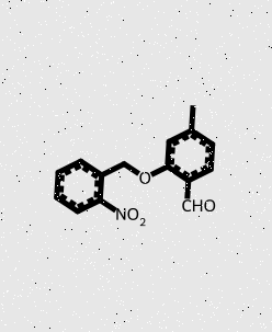 Cc1ccc(C=O)c(OCc2ccccc2[N+](=O)[O-])c1